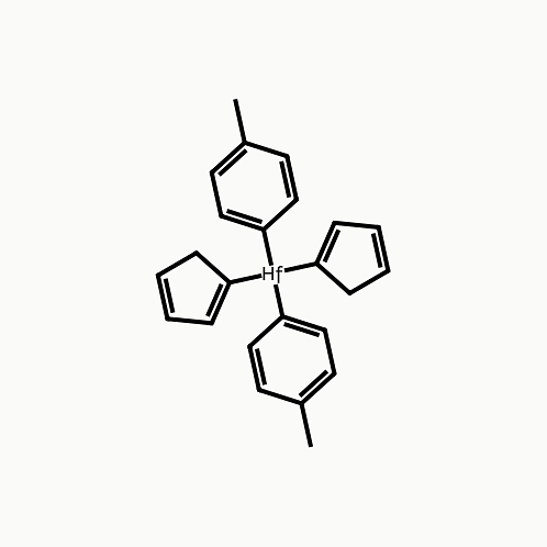 Cc1cc[c]([Hf]([C]2=CC=CC2)([C]2=CC=CC2)[c]2ccc(C)cc2)cc1